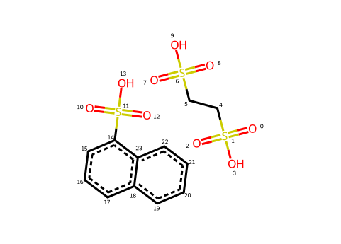 O=S(=O)(O)CCS(=O)(=O)O.O=S(=O)(O)c1cccc2ccccc12